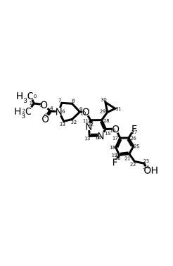 CC(C)OC(=O)N1CCC(Oc2ncnc(Oc3cc(F)c(CCO)cc3F)c2C2CC2)CC1